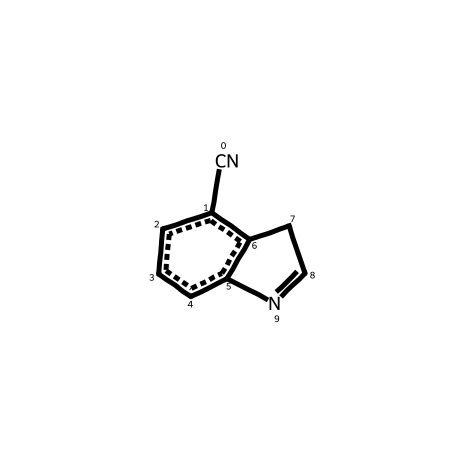 N#Cc1cccc2c1CC=N2